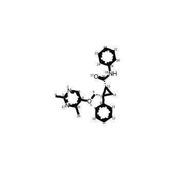 Cc1ncc(OC[C@@]2(c3ccccc3)C[C@H]2C(=O)Nc2ccccc2)c(C)n1